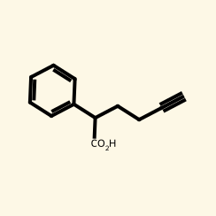 C#CCCC(C(=O)O)c1ccccc1